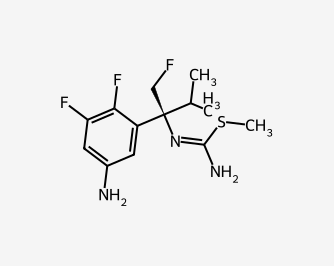 CS/C(N)=N\[C@](CF)(c1cc(N)cc(F)c1F)C(C)C